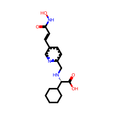 O=C(/C=C/c1ccc(CN[C@H](C(=O)O)C2CCCCC2)nc1)NO